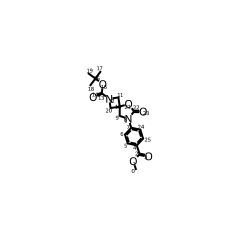 COC(=O)c1ccc(N2CC3(CN(C(=O)OC(C)(C)C)C3)OC2=O)cc1